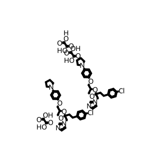 Clc1ccc(CCC2(Cn3ccnc3)OCC(COc3ccc(N4CCCC4)cc3)O2)cc1.Clc1ccc(CCC2(Cn3ccnc3)OCC(COc3ccc(N4CCCC4)cc3)O2)cc1.O=C(O)C(=O)O.O=C(O)C(=O)O.O=C(O)C(=O)O